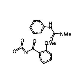 CNC(=O)Nc1ccccc1.COc1ccccc1C(=O)N=S(=O)=O